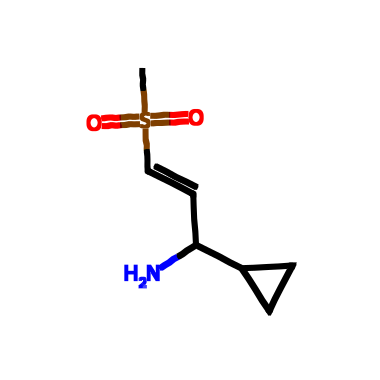 CS(=O)(=O)C=CC(N)C1CC1